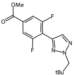 COC(=O)c1cc(F)c(-c2cnn(CC(C)(C)C)n2)c(F)c1